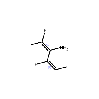 C/C=C(F)\C(N)=C(/C)F